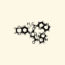 COc1ccc2nccc(N3C[C@@H]4CCN(C(=O)C5CN(c6ccc7c(c6)OCCO7)C(=O)O5)[C@@H]4C3)c2n1